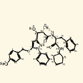 COc1ccc(COc2cc([C@@H](O)[C@H](C)C(=O)N[C@@H](Cc3ccccc3)C(=O)NC3CCCCC3)nn2-c2ccccc2)cc1